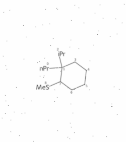 CCCC1(C(C)C)CCCCC1SC